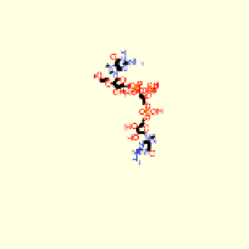 COCCO[C@@H]1[C@H](O)[C@@H](COP(=O)(O)OCC(COP(=O)(O)OC[C@H]2O[C@@H](n3cnc4c(=O)[nH]c(N)nc43)[C@H](O)[C@@H]2O)OP(=O)(O)O)O[C@H]1N1CN(C)c2c1nc(N)[nH]c2=O